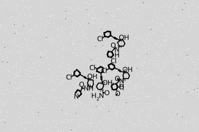 COc1cccc(C(=O)N[C@H]2CCC[C@@](O)(C#Cc3cccc(Cl)c3)C2)c1OC.NC(=O)[C@H]1CCC[C@@](O)(C#Cc2cccc(Cl)c2)C1.O=C(N[C@H]1CCC[C@@](O)(C#Cc2cccc(Cl)c2)C1)c1cccc(Cl)c1.O=C(N[C@H]1CCC[C@@](O)(C#Cc2cccc(Cl)c2)C1)c1ccncc1